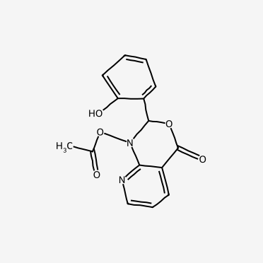 CC(=O)ON1c2ncccc2C(=O)OC1c1ccccc1O